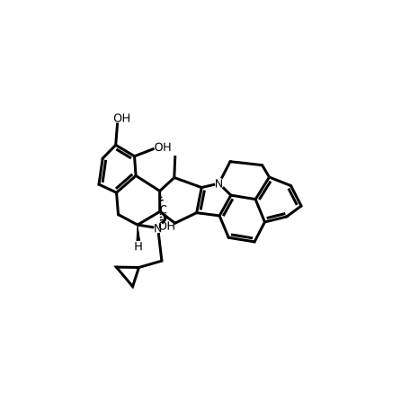 CC1c2c(c3ccc4cccc5c4c3n2CC5)C[C@@]2(O)[C@H]3Cc4ccc(O)c(O)c4[C@@]12CCN3CC1CC1